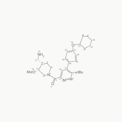 CCCCc1nnc(C(=O)N2CC[C@@H](CN)[C@@H](OC)C2)cc1-c1ccc(OC2CCCCC2)cc1